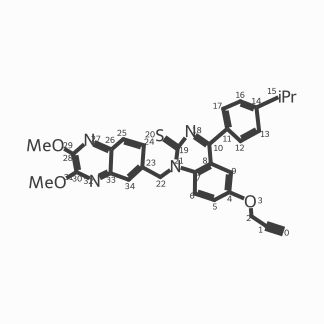 C#CCOc1ccc2c(c1)c(-c1ccc(C(C)C)cc1)nc(=S)n2Cc1ccc2nc(OC)c(OC)nc2c1